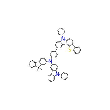 CC1(C)c2ccccc2-c2ccc(N(c3ccc(-c4ccc5c(c4)c4c6sc7ccccc7c6ccc4n5-c4ccccc4)cc3)c3ccc4c(c3)c3ccccc3n4-c3ccccc3)cc21